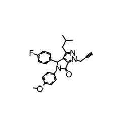 C#CCn1nc(CC(C)C)c2c1C(=O)N(c1ccc(OC)cc1)C2c1ccc(F)cc1